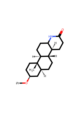 CC(C)O[C@H]1CC[C@@]2(C)[C@@H](CC[C@H]3[C@@H]4CCC(=O)NC4CC[C@@H]32)C1